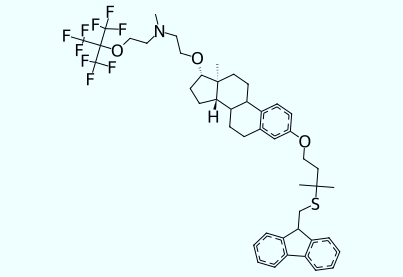 CN(CCO[C@H]1CC[C@H]2C3CCc4cc(OCCC(C)(C)SCC5c6ccccc6-c6ccccc65)ccc4C3CC[C@]12C)CCOC(C(F)(F)F)(C(F)(F)F)C(F)(F)F